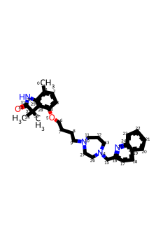 Cc1ccc(OCCCCN2CCCN(Cc3ccc4ccccc4n3)CC2)c2c1NC(=O)C2(C)C